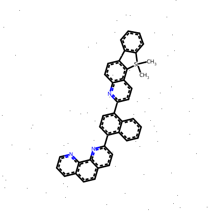 C[Si]1(C)c2ccccc2-c2ccc3nc(-c4ccc(-c5ccc6ccc7cccnc7c6n5)c5ccccc45)ccc3c21